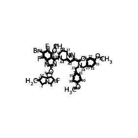 C=C1CN2C[C@@H](F)C[C@@]2(COc2nc(N3CCCn4nc(C(=O)N(Cc5ccc(OC)cc5)Cc5ccc(OC)cc5)cc4C3)c3c(OC)c(F)c(Br)c(F)c3n2)C1